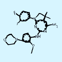 COc1cc(N2CCOCC2)ccc1Nc1nc(N)c2c(n1)N(c1ccc(F)c(F)c1)CC2(C)C